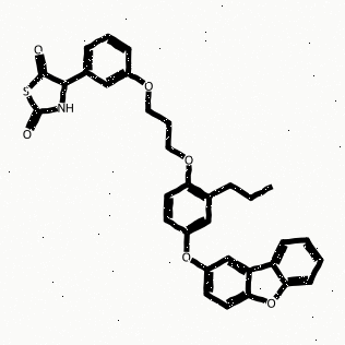 CCCc1cc(Oc2ccc3oc4ccccc4c3c2)ccc1OCCCOc1cccc(C2NC(=O)SC2=O)c1